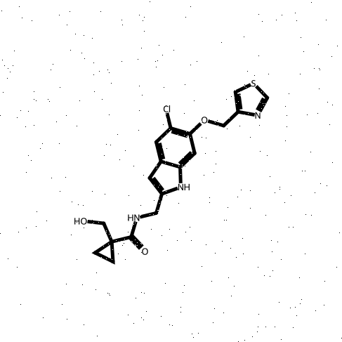 O=C(NCc1cc2cc(Cl)c(OCc3cscn3)cc2[nH]1)C1(CO)CC1